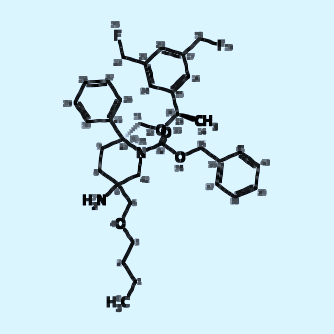 CCCCOCC1(N)CC[C@@](CO[C@H](C)c2cc(CF)cc(CF)c2)(c2ccccc2)N(C(=O)OCc2ccccc2)C1